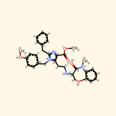 COC(=O)c1nc(Cc2ccccc2)n(Cc2ccc(OC)cc2)c1CCNC1COc2ccccc2N(C)C1=O